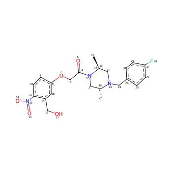 C[C@@H]1CN(C(=O)COc2ccc([N+](=O)[O-])c(CO)c2)[C@@H](C)CN1Cc1ccc(F)cc1